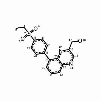 CCS(=O)(=O)c1ccc(-c2cccc3ncc(C[O])nc23)cc1